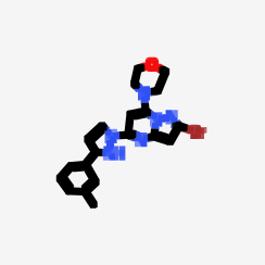 Cc1cccc(C2C=CN(c3cc(N4CCOCC4)n4nc(Br)cc4n3)N2)c1